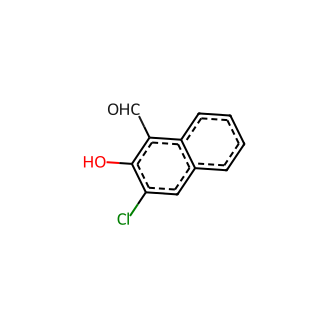 O=Cc1c(O)c(Cl)cc2ccccc12